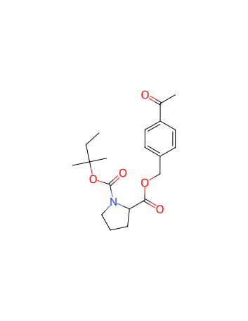 CCC(C)(C)OC(=O)N1CCCC1C(=O)OCc1ccc(C(C)=O)cc1